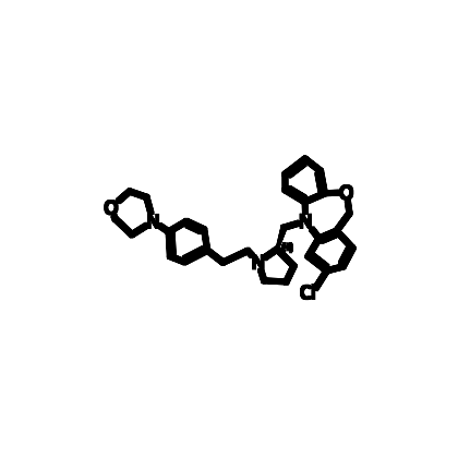 Clc1ccc2c(c1)N(C[C@H]1CCCN1CCc1ccc(N3CCOCC3)cc1)c1ccccc1OC2